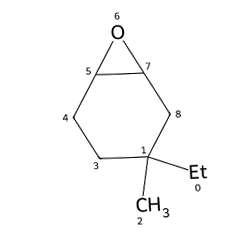 CCC1(C)CCC2OC2C1